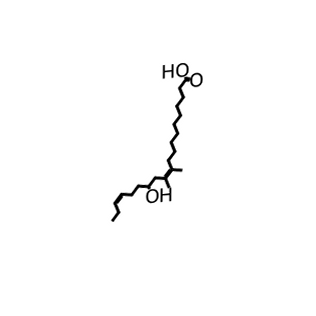 CC/C=C\CCC(O)C/C(C)=C(/C)CCCCCCCCCC(=O)O